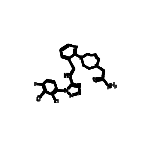 NC(=O)CN1CCCN(c2ncccc2CNc2nnnn2-c2ccc(F)c(Cl)c2Cl)CC1